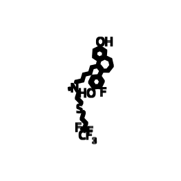 CN(CCCCCC1=C(c2ccc(O)c(F)c2)CCCc2cc(O)ccc21)CCCSCCCC(F)(F)C(F)(F)F